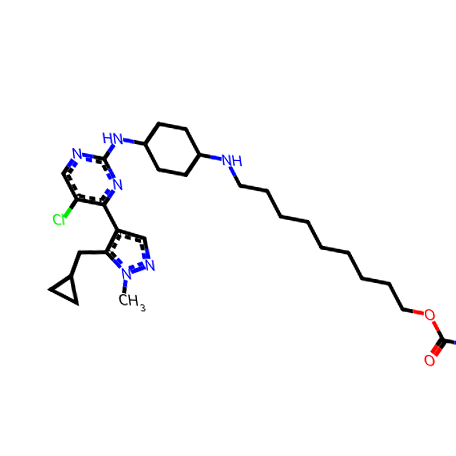 Cn1ncc(-c2nc(NC3CCC(NCCCCCCCCCOC(N)=O)CC3)ncc2Cl)c1CC1CC1